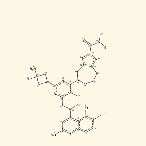 CCc1c(F)ccc2cc(O)cc(N3CCc4c(nc(N5CC(C)(N)C5)nc4N4CCCn5nc(C(=O)N(C)C)cc5C4)C3)c12